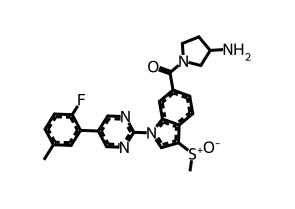 Cc1ccc(F)c(-c2cnc(-n3cc([S+](C)[O-])c4ccc(C(=O)N5CCC(N)C5)cc43)nc2)c1